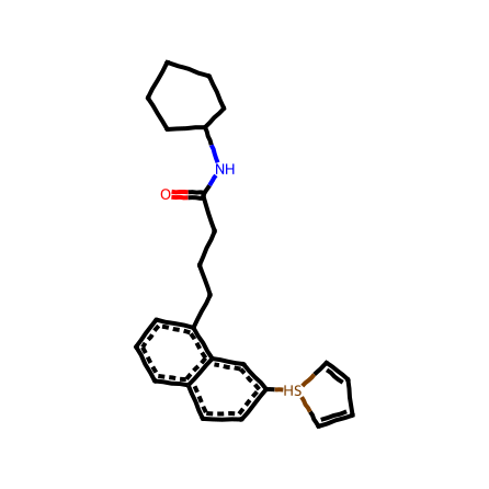 O=C(CCCc1cccc2ccc([SH]3C=CC=C3)cc12)NC1CCCCC1